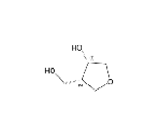 OC[C@H]1COC[C@H]1O